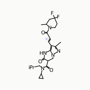 Cc1nn2c(c1/C=C/C(=O)N1CCC(F)(F)CC1C)NC(=O)C(C(=O)N(CC(C)C)C1CC1)C2